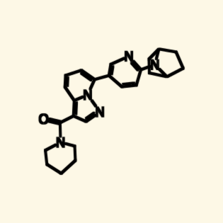 O=C(c1cnn2c(-c3ccc(N4C5CCC4CC5)nc3)cccc12)N1CCCCC1